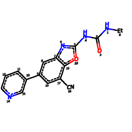 CCNC(=O)Nc1nc2cc(-c3cccnc3)cc(C#N)c2o1